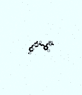 COc1ccc(CN2CCN(C(=O)C=Cc3ccc(Cl)cc3Cn3nnc(C)n3)C(C)C2)nc1